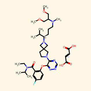 CCN(C(=O)c1cc(F)ccc1Oc1nncnc1N1CCC2(C1)CN([C@H](CCCN(C)C(COC)COC)C(C)C)C2)C(C)C.O=C(O)/C=C/C(=O)O